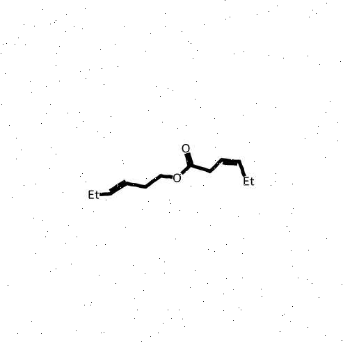 CCC=CCCOC(=O)C/C=C\CC